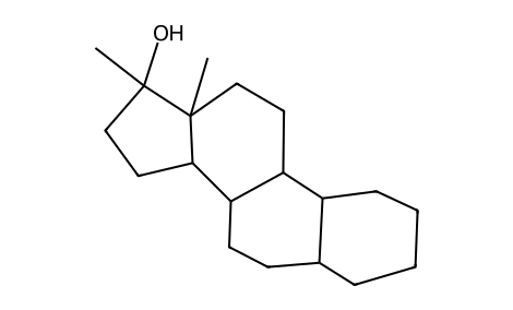 CC1(O)CCC2C3CCC4CCCCC4C3CCC21C